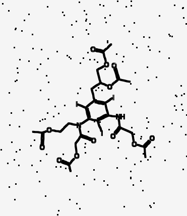 CC(=O)OCCN(C(=O)COC(C)=O)c1c(I)c(CC(COC(C)=O)OC(C)=O)c(I)c(NC(=O)COC(C)=O)c1I